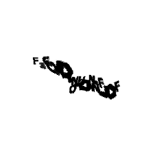 O=C(NCc1cccc(OC(F)(F)F)c1)c1ccc2c(c1)ncn2Cc1ccc(F)cc1F